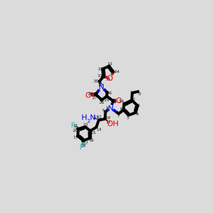 CCc1cccc(CN(C[C@@H](O)[C@@H](N)Cc2cc(F)cc(F)c2)C(=O)C2CC(=O)N(Cc3ccco3)C2)c1